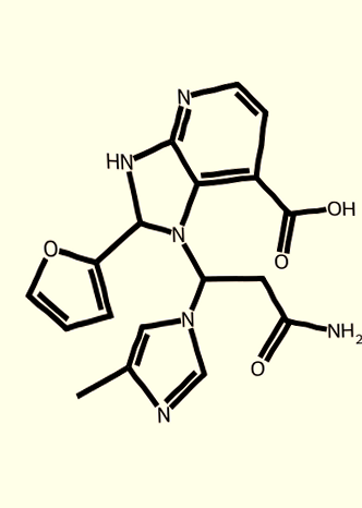 Cc1cn(C(CC(N)=O)N2c3c(C(=O)O)ccnc3NC2c2ccco2)cn1